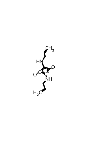 C=CCNc1c([O-])[c+](NCC=C)[c+]1[O-]